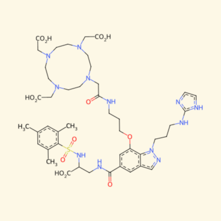 Cc1cc(C)c(S(=O)(=O)NC(CNC(=O)c2cc(OCCCNC(=O)CN3CCN(CC(=O)O)CCN(CC(=O)O)CCN(CC(=O)O)CC3)c3c(cnn3CCCNc3ncc[nH]3)c2)C(=O)O)c(C)c1